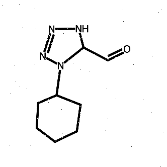 O=CC1NN=NN1C1CCCCC1